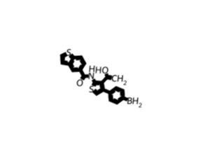 Bc1ccc(-c2csc(NC(=O)c3ccc4sccc4c3)c2C(=C)O)cc1